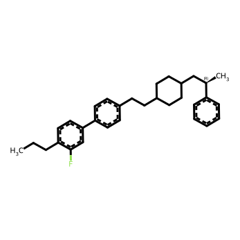 CCCc1ccc(-c2ccc(CCC3CCC(C[C@@H](C)c4ccccc4)CC3)cc2)cc1F